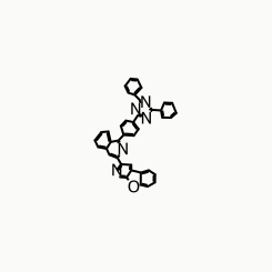 c1ccc(-c2nc(-c3ccccc3)nc(-c3ccc(-c4nc(-c5cc6c(cn5)oc5ccccc56)cc5ccccc45)cc3)n2)cc1